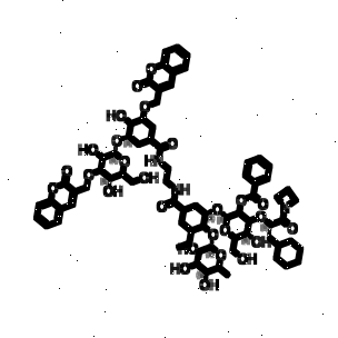 CCC1CC(C(=O)NCCNC(=O)C2CC(OCc3cc4ccccc4oc3=O)C(O)[C@H](O[C@@H]3OC(CO)[C@H](O)C(OCc4cc5ccccc5oc4=O)C3O)C2)C[C@@H](O[C@@H]2OC(CO)[C@H](O)C(O[C@@H](CC3CCCCC3)C(=O)N3CCC3)C2OC(=O)c2ccccc2)C1O[C@@H]1OC(C)[C@@H](O)C(O)C1O